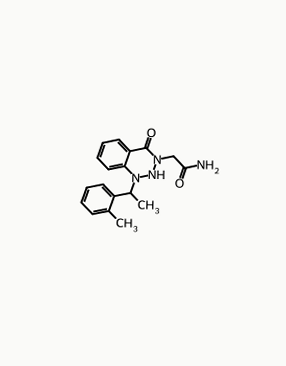 Cc1ccccc1C(C)N1NN(CC(N)=O)C(=O)c2ccccc21